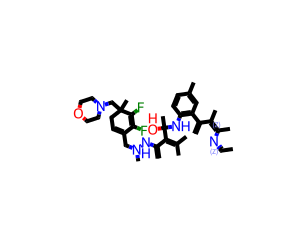 C=C(NN(C)CC1=CCC(C)(CN2CCOCC2)C(F)=C1F)C(=C(C)C)C(C)(O)Nc1ccc(C)cc1C(=C)/C(C)=C(C)\N=C/C